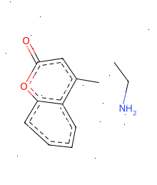 CCN.Cc1cc(=O)oc2ccccc12